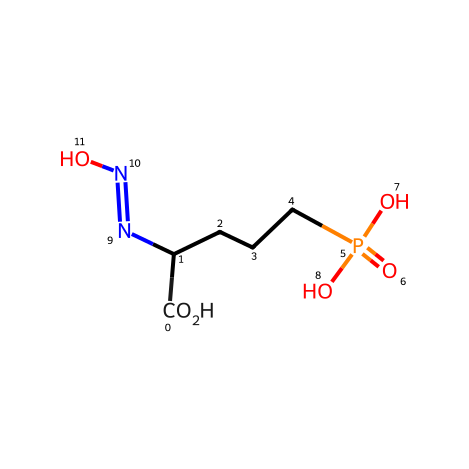 O=C(O)C(CCCP(=O)(O)O)/N=N/O